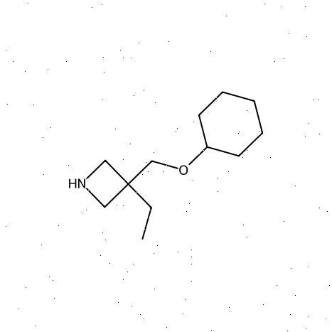 CCC1(COC2CCCCC2)CNC1